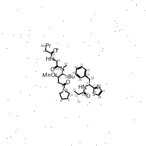 CC[C@H](C)[C@@H]([C@@H](CC(=O)N1CCC[C@H]1C[C@@H](C)C(=O)N[C@@H](Cc1ccccc1)c1nccs1)OC)N(C)C(=O)CNC(=O)CC(C)C